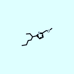 CCCCC(CC)c1ccc(COC)s1